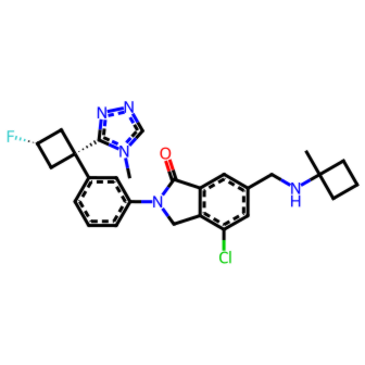 Cn1cnnc1[C@]1(c2cccc(N3Cc4c(Cl)cc(CNC5(C)CCC5)cc4C3=O)c2)C[C@H](F)C1